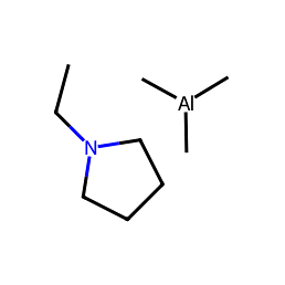 CCN1CCCC1.[CH3][Al]([CH3])[CH3]